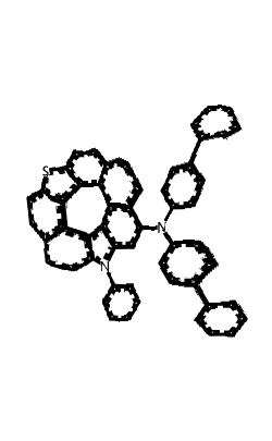 c1ccc(-c2ccc(N(c3ccc(-c4ccccc4)cc3)c3cc4c5c6c3ccc3ccc7sc8ccc9ccc(c5c9c8c7c36)n4-c3ccccc3)cc2)cc1